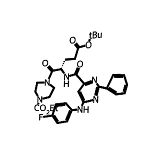 CCOC(=O)N1CCN(C(=O)[C@H](CCC(=O)OC(C)(C)C)NC(=O)c2cc(Nc3ccc(F)cc3)nc(-c3ccccc3)n2)CC1